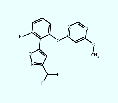 COc1cc(Oc2cccc(Br)c2-c2cc(C(F)F)no2)ncn1